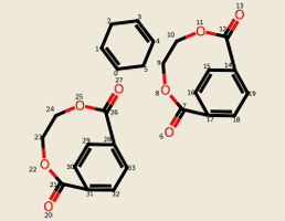 C1=CCC=CC1.O=C1OCCOC(=O)c2ccc1cc2.O=C1OCCOC(=O)c2ccc1cc2